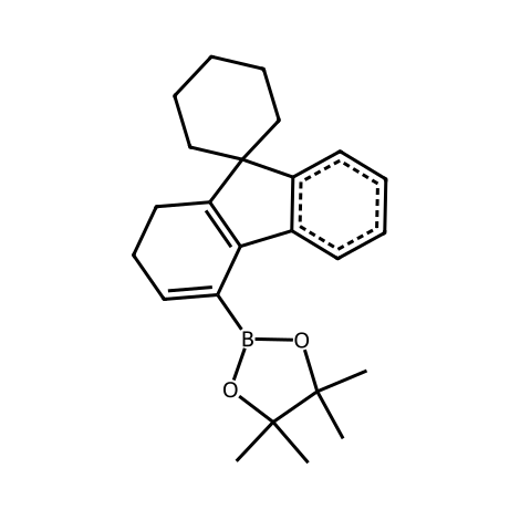 CC1(C)OB(C2=CCCC3=C2c2ccccc2C32CCCCC2)OC1(C)C